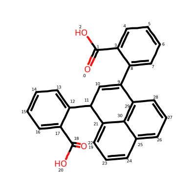 O=C(O)c1ccccc1C1=CC(c2ccccc2C(=O)O)c2cccc3cccc1c23